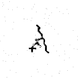 C/C=C/CC(CCCCC)NC(=O)OC(C)(C)C